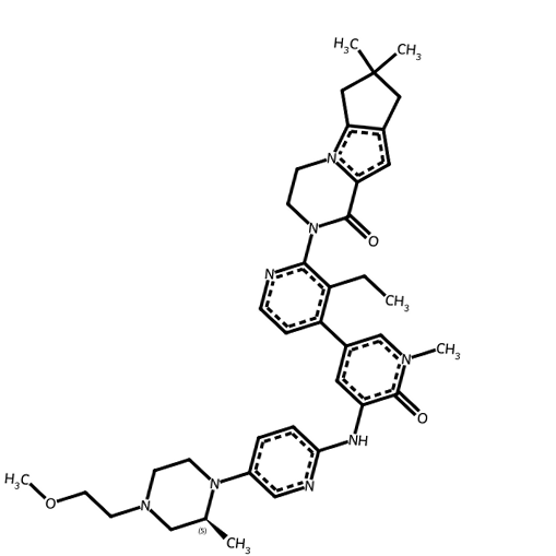 CCc1c(-c2cc(Nc3ccc(N4CCN(CCOC)C[C@@H]4C)cn3)c(=O)n(C)c2)ccnc1N1CCn2c(cc3c2CC(C)(C)C3)C1=O